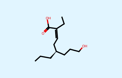 CCC[C@@H](CC=C(CC)C(=O)O)CCCO